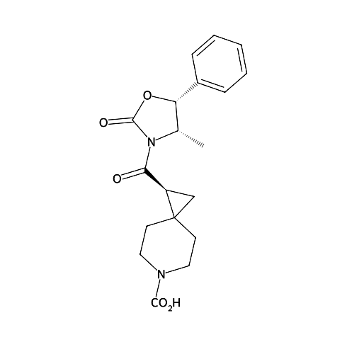 C[C@H]1[C@@H](c2ccccc2)OC(=O)N1C(=O)[C@H]1CC12CCN(C(=O)O)CC2